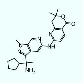 Cn1nc(C(C)(N)C2CCCC2)c2cc(Nc3ccc4c(n3)CC(C)(C)OC4=O)ncc21